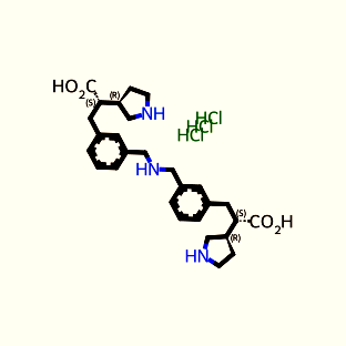 Cl.Cl.Cl.O=C(O)[C@@H](Cc1cccc(CNCc2cccc(C[C@H](C(=O)O)[C@H]3CCNC3)c2)c1)[C@H]1CCNC1